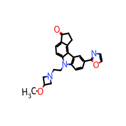 COC1CN(CCn2c3ccc(-c4ncco4)cc3c3c4c(ccc32)C(=O)CC4)C1